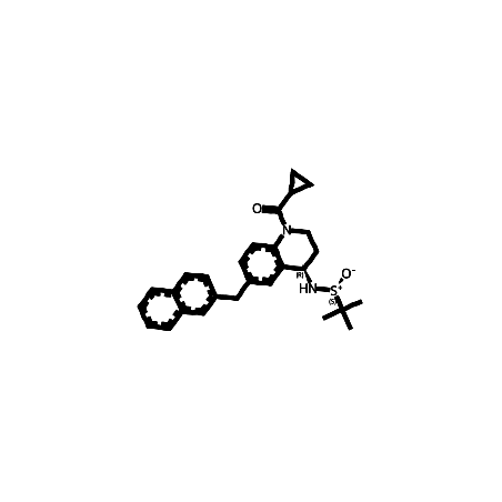 CC(C)(C)[S@@+]([O-])N[C@@H]1CCN(C(=O)C2CC2)c2ccc(Cc3ccc4ccccc4c3)cc21